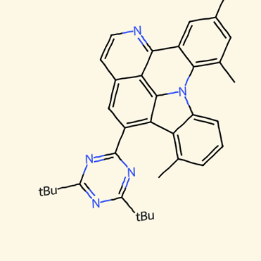 Cc1cc(C)c2c(c1)c1nccc3cc(-c4nc(C(C)(C)C)nc(C(C)(C)C)n4)c4c5c(C)cccc5n2c4c31